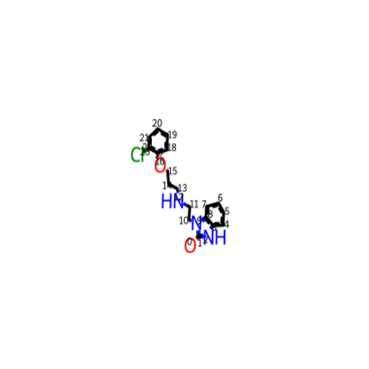 O=c1[nH]c2ccccc2n1CCNCCCOc1ccccc1Cl